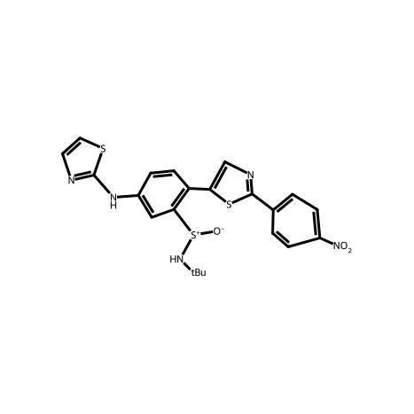 CC(C)(C)N[S+]([O-])c1cc(Nc2nccs2)ccc1-c1cnc(-c2ccc([N+](=O)[O-])cc2)s1